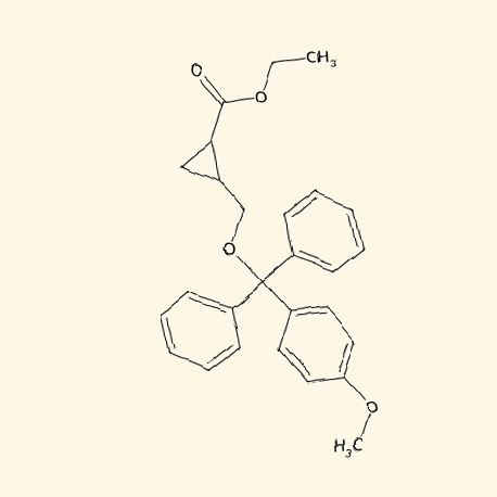 CCOC(=O)C1CC1COC(c1ccccc1)(c1ccccc1)c1ccc(OC)cc1